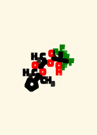 CC(OC(=O)C(O)(C(F)(F)F)C(F)(F)F)C(=O)OC(C)(C)C1CCCC1